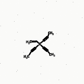 C=C[Si](C#CC)(C#CC)C#CC